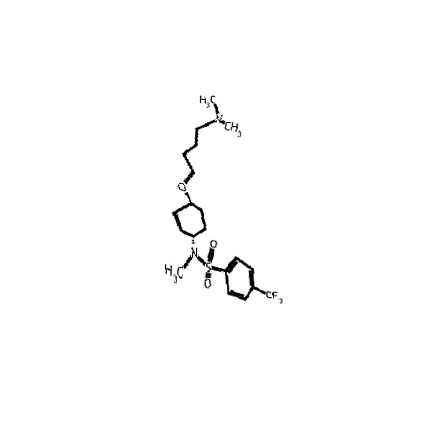 CN(C)CCCCO[C@H]1CC[C@H](N(C)S(=O)(=O)c2ccc(C(F)(F)F)cc2)CC1